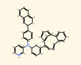 C1=CC(N(c2ccc(C3C=c4ccccc4=CC3)cc2)c2cccnc2)CC(/C2=C/C=C/c3ccccc3-c3cccc2c3)=C1